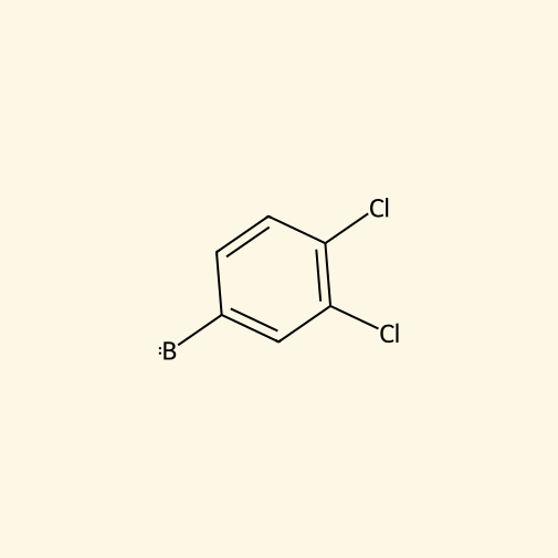 [B]c1ccc(Cl)c(Cl)c1